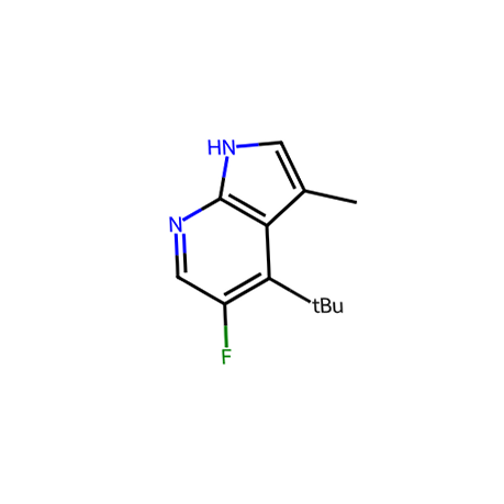 Cc1c[nH]c2ncc(F)c(C(C)(C)C)c12